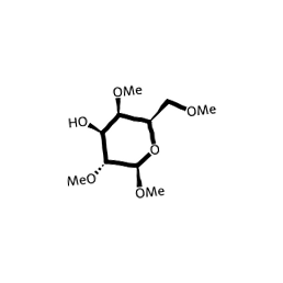 COC[C@H]1O[C@@H](OC)[C@H](OC)[C@@H](O)[C@H]1OC